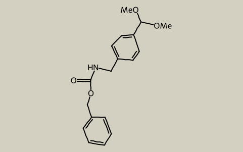 COC(OC)c1ccc(CNC(=O)OCc2ccccc2)cc1